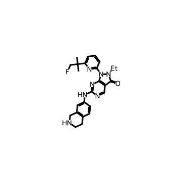 CCn1c(=O)c2cnc(Nc3ccc4c(c3)CNCC4)nc2n1-c1cccc(C(C)(C)CF)n1